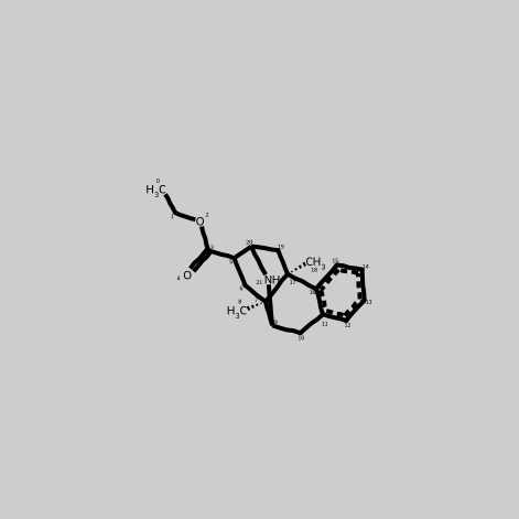 CCOC(=O)C1C[C@]2(C)C3Cc4ccccc4[C@]2(C)CC1N3